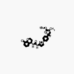 CN(CC(F)(F)c1ccc(-n2ccc(NC(=O)N[C@H]3CCOc4c(Cl)cccc43)n2)cc1)C(=O)OC(C)(C)C